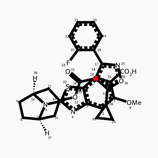 COc1cc2nc(N3[C@@H]4CC[C@H]3CC(OC(=O)c3c(-c5ccccc5F)noc3C3CC3)C4)sc2cc1C(=O)O